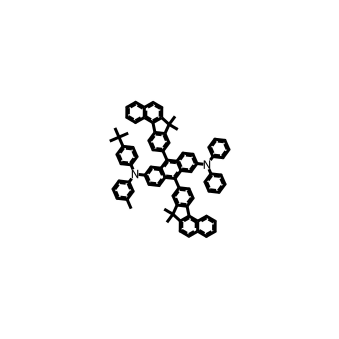 Cc1cccc(N(c2ccc(C(C)(C)C)cc2)c2ccc3c(-c4ccc5c(c4)C(C)(C)c4ccc6ccccc6c4-5)c4cc(N(c5ccccc5)c5ccccc5)ccc4c(-c4ccc5c(c4)C(C)(C)c4ccc6ccccc6c4-5)c3c2)c1